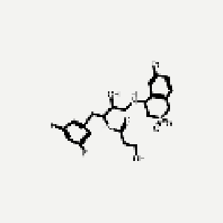 CCc1ccc2c(c1)C(NCC(O)C(Cc1cc(F)cc(F)c1)NC(=O)CCO)CS(=O)(=O)C2